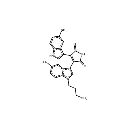 NCCCn1cc(C2=C(c3c[nH]c4ccc(N)cc34)C(=O)NC2=O)c2cc(N)ccc21